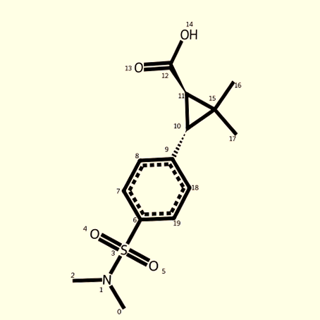 CN(C)S(=O)(=O)c1ccc([C@@H]2[C@@H](C(=O)O)C2(C)C)cc1